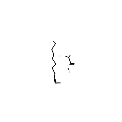 CC(C)OC(=O)C(C)O.CCCCCCCC/C=C\CCCCCCCC(=O)O